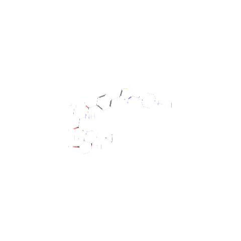 CN1CCN(c2nc(-c3ccc(C(=O)NC(CC(C)(C)C)C(=O)N4C[C@H](C5CC5)[C@H]5OCC(=O)[C@H]54)cc3)cs2)CC1